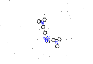 c1ccc(-n2c3ccccc3c3ccc(-c4cccn5nc(-c6ccc(-c7ccc(-n8c9ccccc9c9ccccc98)cc7)cc6)nc45)cc32)cc1